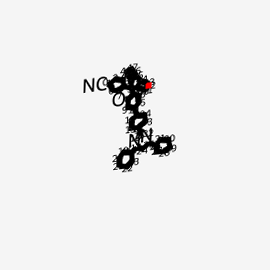 N#Cc1ccc2c(c1)Oc1cc(-c3ccc(-c4nc(-c5ccccc5)cc(-c5ccccc5)n4)cc3)ccc1C21c2ccccc2-c2ccccc21